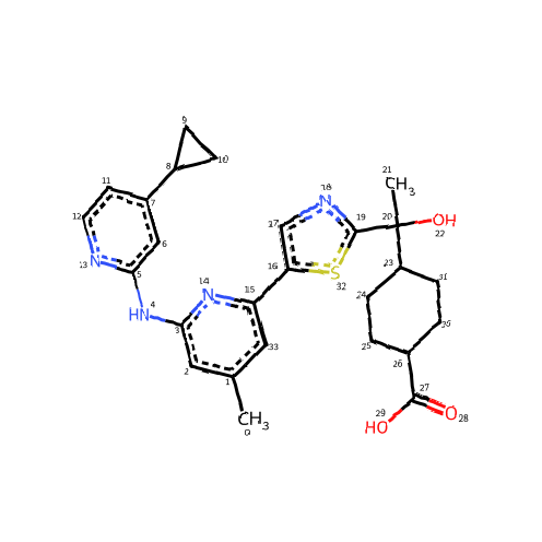 Cc1cc(Nc2cc(C3CC3)ccn2)nc(-c2cnc(C(C)(O)C3CCC(C(=O)O)CC3)s2)c1